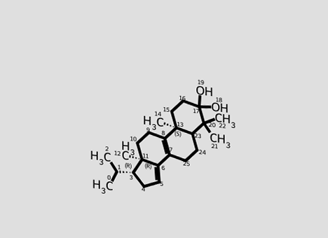 CC(C)[C@H]1CC=C2C3=C(CC[C@@]21C)[C@@]1(C)CCC(O)(O)C(C)(C)C1CC3